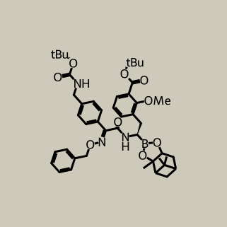 COc1c(C[C@H](NC(=O)C(=NOCc2ccccc2)c2ccc(CNC(=O)OC(C)(C)C)cc2)B2OC3CC4CC(C4(C)C)C3(C)O2)cccc1C(=O)OC(C)(C)C